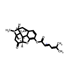 CC(C)=C/C=C/C(=O)OC1=C2O[C@H]3C(=O)CC45C[C@]36C2C(C=C1)C[C@@H](N4C)[C@]56O